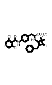 CCOC(=O)[C@H](Cc1ccc(NC(=O)c2c(Cl)cncc2Cl)cc1)NC1=C(Cc2ccccc2)C(=O)C1(C)C